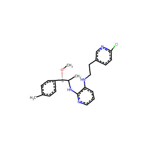 CO[C@@H](c1ccc(C)cc1)C(C)Nc1ncccc1NCCc1ccc(Cl)nc1